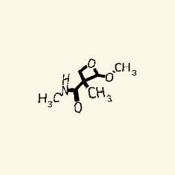 CNC(=O)C1(C)COC1OC